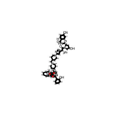 CC(C)[C@@H](C(=O)N1C[C@H](O)C[C@H]1C(=O)N[C@@H](C)c1ccc(C#N)cc1)c1cc(N2CCC(CN3CCC(Oc4cc(N5C6CCC5CN(c5cc(-c7ccccc7O)nnc5N)C6)ccn4)CC3)CC2)no1